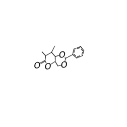 CC1C(=O)OC2COC(c3ccccc3)OC2C1C